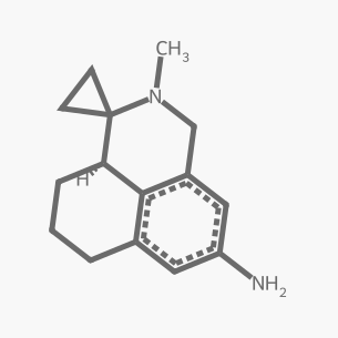 CN1Cc2cc(N)cc3c2[C@@H](CCC3)C12CC2